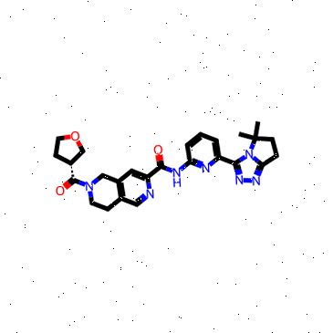 CC1(C)CCc2nnc(-c3cccc(NC(=O)c4cc5c(cn4)CCN(C(=O)[C@@H]4CCOC4)C5)n3)n21